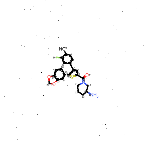 N#Cc1ccc(-c2cc(C(=O)N3CCCC(N)C3)sc2-c2ccc3c(c2)OCO3)cc1F